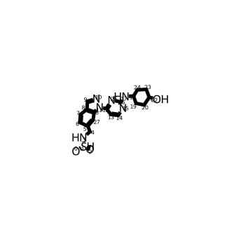 O=[SH](=O)NCc1ccc2cnn(-c3ccnc(NC4CCC(O)CC4)n3)c2c1